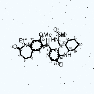 CCN1C(=O)CCCc2cc(Nc3ncc(Cl)c(N[C@@H]4CCCC[C@@H]4CN[SH](=O)=O)n3)c(OC)cc21